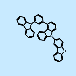 c1cc(-c2cccc3c2c2ccccc2n3-c2ccc3oc4ccccc4c3c2)cc(-n2c3ccccc3c3ccccc32)c1